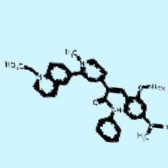 CCCCCCOc1cc(N(C)C)ccc1/C=C(\C(=O)Nc1ccccc1)c1cc[n+](C)c(-c2ccc3c(ccc[n+]3CC(=O)O)c2)c1